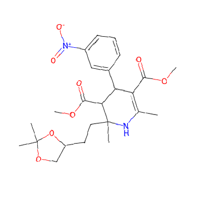 COC(=O)C1=C(C)NC(C)(CCC2COC(C)(C)O2)C(C(=O)OC)C1c1cccc([N+](=O)[O-])c1